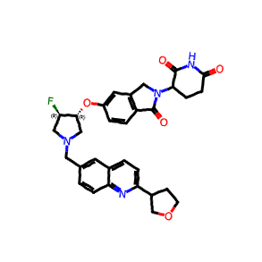 O=C1CCC(N2Cc3cc(O[C@@H]4CN(Cc5ccc6nc(C7CCOC7)ccc6c5)C[C@H]4F)ccc3C2=O)C(=O)N1